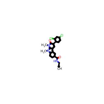 C#CCNC(=O)c1ccc2c(c1)c1cc(-c3ccc(Cl)cc3Cl)c(=O)n(C)c1n2C